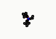 CC1(C)c2ccccc2-c2cc(N(c3cccc(-c4cccc5c4C(c4ccccc4)(c4ccccc4)c4ccccc4-5)c3)c3cccc(-c4cccc5c4C(c4ccccc4)(c4ccccc4)c4ccccc4-5)c3)ccc21